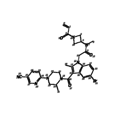 C=CC(=O)N1CC(N(C)C(=O)Cn2c(C)c(C(=O)N3CCN(c4ccc(C#N)cn4)CC3C)c3cc(Br)ccc32)C1